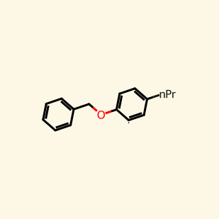 CCCc1c[c]c(OCc2ccccc2)cc1